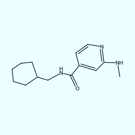 CNc1cc(C(=O)NCC2CCCCC2)ccn1